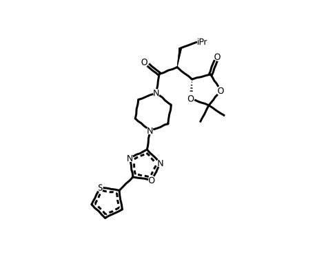 CC(C)C[C@H](C(=O)N1CCN(c2noc(-c3cccs3)n2)CC1)[C@H]1OC(C)(C)OC1=O